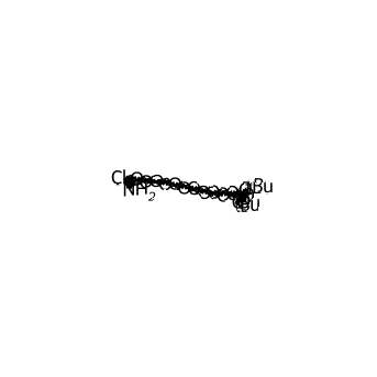 CC(C)(C)OC(=O)N(CCOCCOCCOCCOCCOCCOCCOCCOCCOCCOCCOc1cc(N)cc(Cl)c1)C(=O)OC(C)(C)C